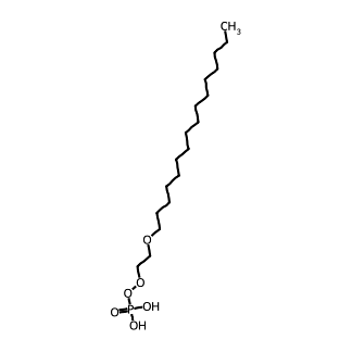 CCCCCCCCCCCCCCCCOCCOOP(=O)(O)O